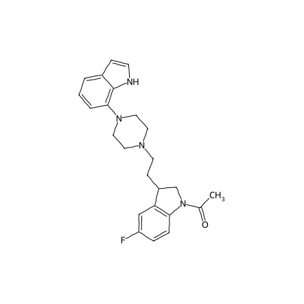 CC(=O)N1CC(CCN2CCN(c3cccc4cc[nH]c34)CC2)c2cc(F)ccc21